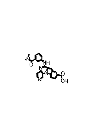 CN(C)C(=O)c1cccc(Nc2nc3ccncc3n3c2cc2cc(C(=O)O)ccc23)c1